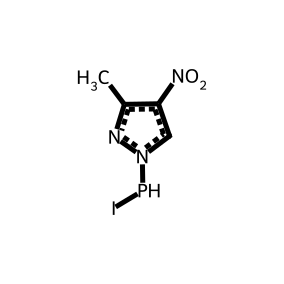 Cc1nn(PI)cc1[N+](=O)[O-]